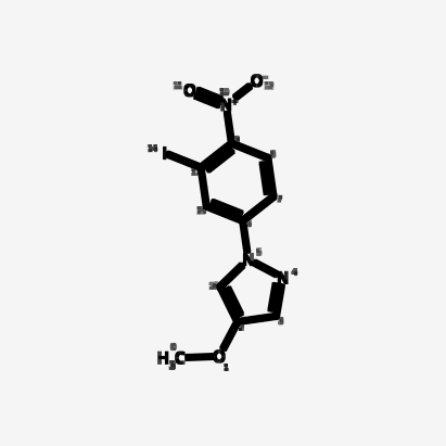 COc1cnn(-c2ccc([N+](=O)[O-])c(I)c2)c1